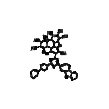 Oc1c(O)c2c3c(c1O)OOc1c(-c4nc(-c5ccc(-c6ccccc6)cc5)nc(-c5ccc6c(c5)oc5ccccc56)n4)c(O)c4oc5c(O)c(O)c(O)c(c5c4c1-3)B2